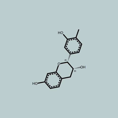 Cc1ccc([C@H]2Oc3cc(O)ccc3C[C@H]2O)cc1O